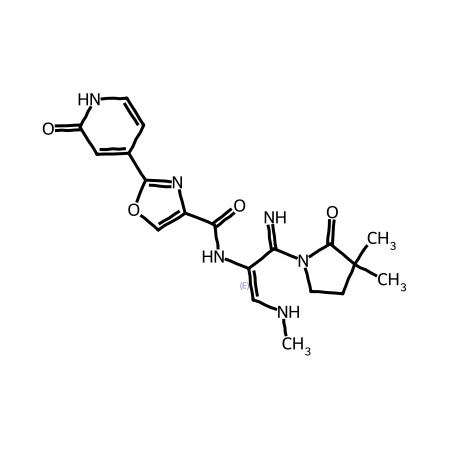 CN/C=C(/NC(=O)c1coc(-c2cc[nH]c(=O)c2)n1)C(=N)N1CCC(C)(C)C1=O